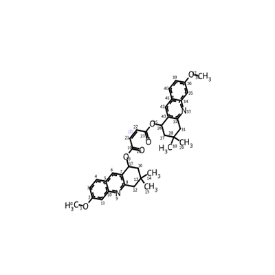 COc1ccc2cc3c(nc2c1)CC(C)(C)CC3OC(=O)/C=C\C(=O)OC1CC(C)(C)Cc2nc3cc(OC)ccc3cc21